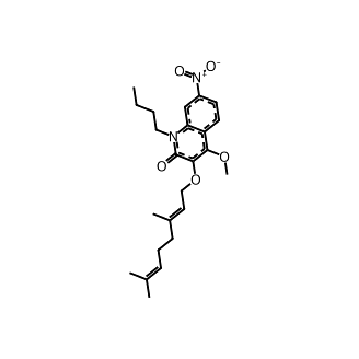 CCCCn1c(=O)c(OC/C=C(\C)CCC=C(C)C)c(OC)c2ccc([N+](=O)[O-])cc21